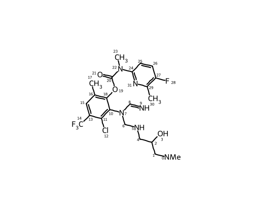 CNCC(O)CNCN(C=N)c1c(Cl)c(C(F)(F)F)cc(C)c1OC(=O)N(C)c1ccc(F)c(C)n1